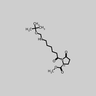 COC(=O)[C@@H]1CCC(=O)N1C(=O)CCCCCNCOC(C)(C)C